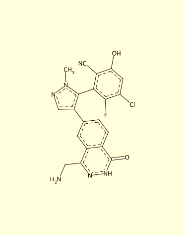 Cn1ncc(-c2ccc3c(=O)[nH]nc(CN)c3c2)c1-c1c(F)c(Cl)cc(O)c1C#N